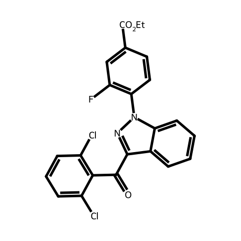 CCOC(=O)c1ccc(-n2nc(C(=O)c3c(Cl)cccc3Cl)c3ccccc32)c(F)c1